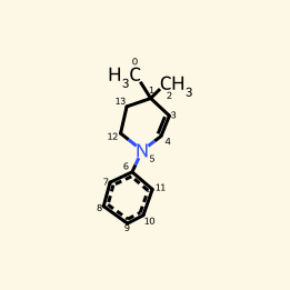 CC1(C)C=CN(c2ccccc2)CC1